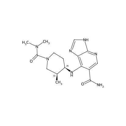 C[C@H]1CN(C(=O)N(C)C)CC[C@H]1Nc1c(C(N)=O)cnc2[nH]cnc12